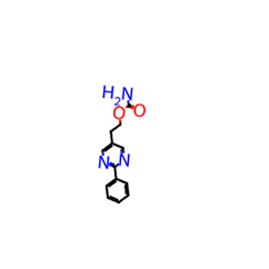 NC(=O)OCCc1cnc(-c2ccccc2)nc1